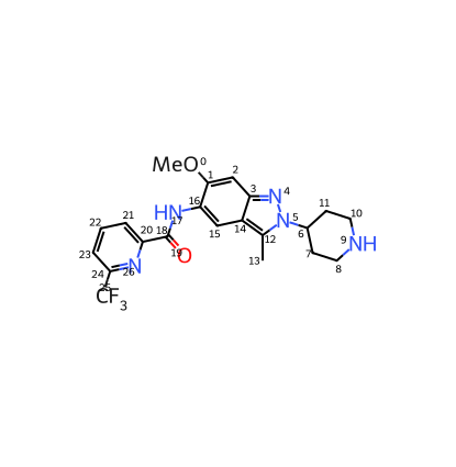 COc1cc2nn(C3CCNCC3)c(C)c2cc1NC(=O)c1cccc(C(F)(F)F)n1